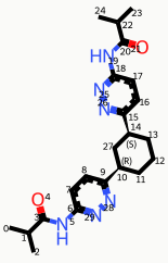 CC(C)C(=O)Nc1ccc([C@@H]2CCC[C@H](c3ccc(NC(=O)C(C)C)nn3)C2)nn1